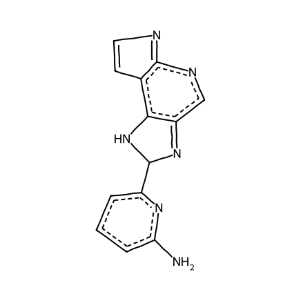 Nc1cccc(C2N=c3cnc4c(c3N2)C=CN=4)n1